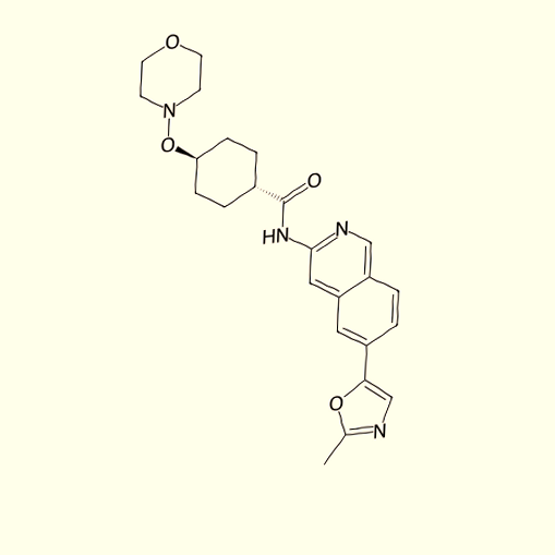 Cc1ncc(-c2ccc3cnc(NC(=O)[C@H]4CC[C@H](ON5CCOCC5)CC4)cc3c2)o1